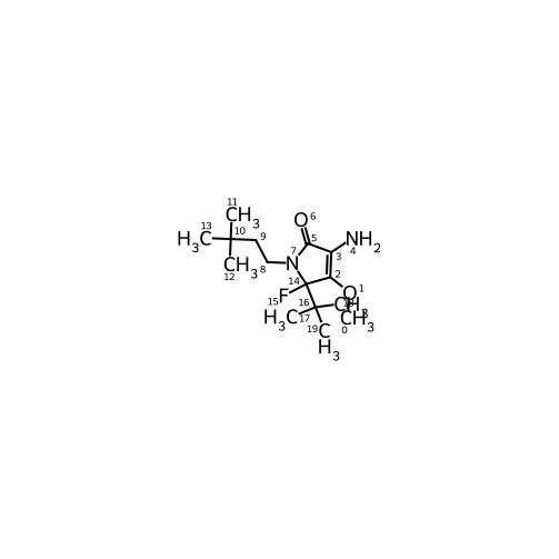 COC1=C(N)C(=O)N(CCC(C)(C)C)C1(F)C(C)(C)C